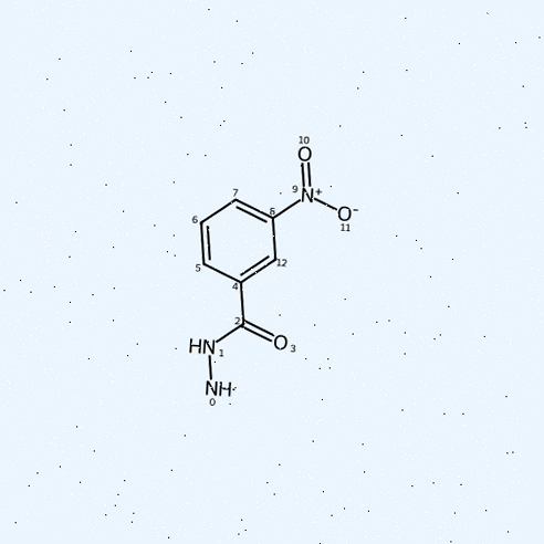 [NH]NC(=O)c1cccc([N+](=O)[O-])c1